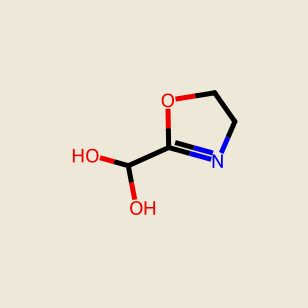 OC(O)C1=NCCO1